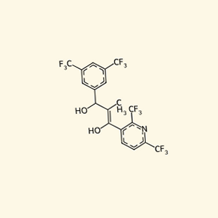 C/C(=C(/O)c1ccc(C(F)(F)F)nc1C(F)(F)F)C(O)c1cc(C(F)(F)F)cc(C(F)(F)F)c1